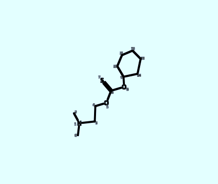 CN(C)CCOC(=S)OC1CCCCC1